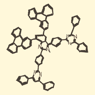 c1ccc(-c2cc(-c3ccccc3)nc(-c3ccc(-c4nc(-c5ccc(-c6nc(-c7ccccc7)nc(-c7ccccc7)n6)cc5)c5cc(-c6ccc7c8ccccc8c8ccccc8c7c6)cc(-c6ccc7c8ccccc8c8ccccc8c7c6)c5n4)cc3)n2)cc1